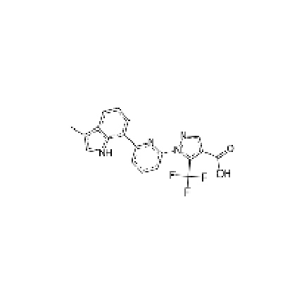 Cc1c[nH]c2c(-c3cccc(-n4ncc(C(=O)O)c4C(F)(F)F)n3)cccc12